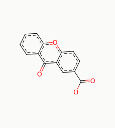 [O]C(=O)c1ccc2oc3ccccc3c(=O)c2c1